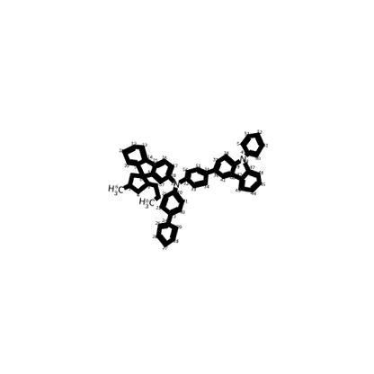 CCCC1CC(C)CC12c1ccccc1-c1ccc(N(c3ccc(-c4ccccc4)cc3)c3ccc(-c4ccc5c(c4)c4ccccc4n5-c4ccccc4)cc3)cc12